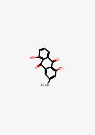 O=C1c2cc(S(=O)(=O)O)cc(O)c2C(=O)c2cccc(O)c21